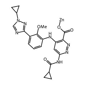 COc1c(Nc2cc(NC(=O)C3CC3)nnc2C(=O)[O][Zn])cccc1-c1ncn(C2CC2)n1